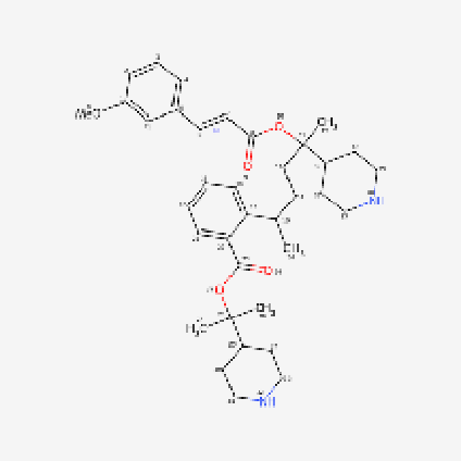 COc1cccc(/C=C/C(=O)OC(C)(CCC(C)c2ccccc2C(=O)OC(C)(C)C2CCNCC2)C2CCNCC2)c1